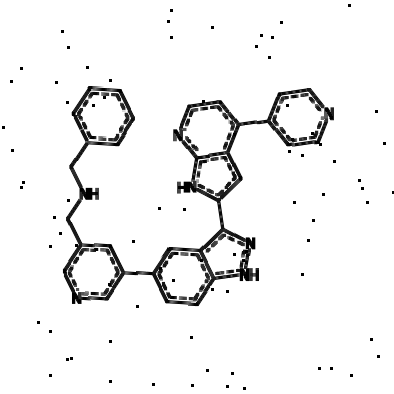 c1ccc(CNCc2cncc(-c3ccc4[nH]nc(-c5cc6c(-c7ccncc7)ccnc6[nH]5)c4c3)c2)cc1